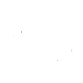 CCCCOC(=O)N1CCC(Oc2ccc(-c3ncc(C(=O)Nc4ccccc4)s3)cc2)CC1